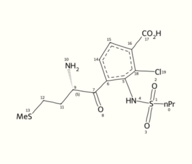 CCCS(=O)(=O)Nc1c(C(=O)[C@@H](N)CCSC)ccc(C(=O)O)c1Cl